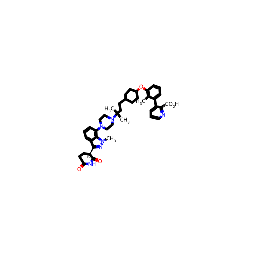 Cc1c(OC2CCC(CCC(C)(C)N3CCN(c4cccc5c([C@@H]6CCC(=O)NC6=O)nn(C)c45)CC3)CC2)cccc1-c1cccnc1C(=O)O